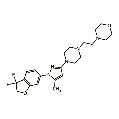 Cc1cc(N2CCN(CCN3CCOCC3)CC2)nn1-c1ccc2c(c1)OCC2(F)F